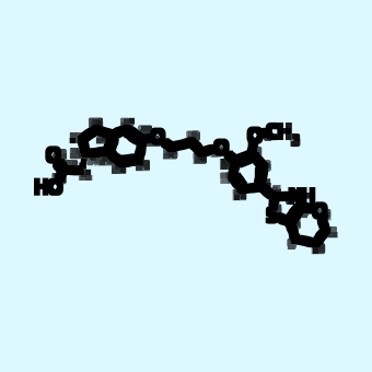 COc1cc(C2NC3=C(CCCO3)S2)ccc1OCCCOc1ccc2c(c1)CC[C@H]2CC(=O)O